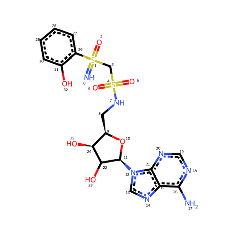 N=S(=O)(CS(=O)(=O)NC[C@H]1O[C@@H](n2cnc3c(N)ncnc32)C(O)[C@H]1O)c1ccccc1O